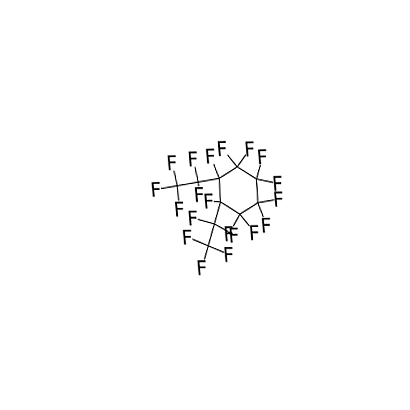 FC(F)(F)C(F)(F)C1(F)C(F)(F)C(F)(F)C(F)(F)C(F)(F)C1(F)C(F)(F)C(F)(F)F